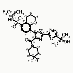 C[C@H](NS(=O)(=O)c1ccc(-c2sc(-c3nnc(C(C)(C)O)o3)nc2C(=O)N2CCC(F)(F)CC2)c2c1CCCO2)C(F)(F)F